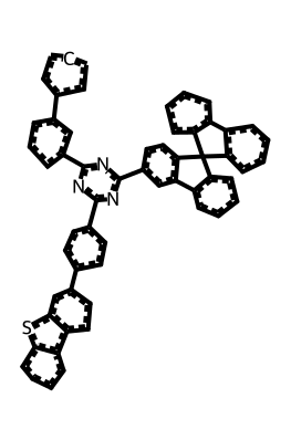 c1ccc(-c2cccc(-c3nc(-c4ccc(-c5ccc6c(c5)sc5ccccc56)cc4)nc(-c4ccc5c(c4)-c4ccccc4C54c5ccccc5-c5ccccc54)n3)c2)cc1